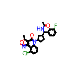 CC(=O)NC(c1cccc(F)c1)C1CCC(n2c(=O)c3c(C)onc3c3c(Cl)cccc32)C1